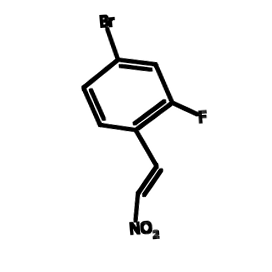 O=[N+]([O-])/C=C/c1ccc(Br)cc1F